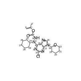 C=C(C)OC(=O)NN(c1nc(Cl)nc2c1ncn2C1CCCCO1)C1CCCCC1